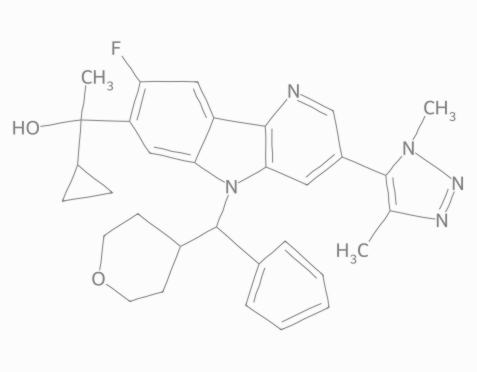 Cc1nnn(C)c1-c1cnc2c3cc(F)c(C(C)(O)C4CC4)cc3n(C(c3ccccc3)C3CCOCC3)c2c1